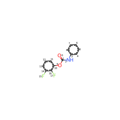 O=C(Nc1ccccc1)Oc1cccc(F)c1F